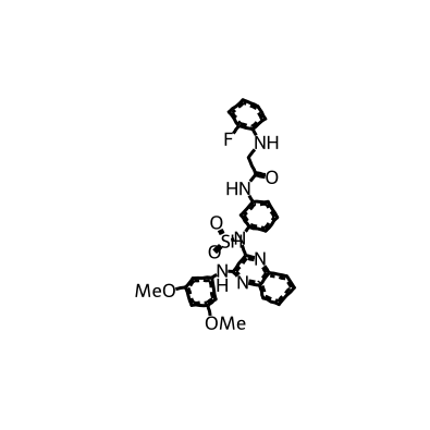 COc1cc(Nc2nc3ccccc3nc2N(c2cccc(NC(=O)CNc3ccccc3F)c2)[SH](=O)=O)cc(OC)c1